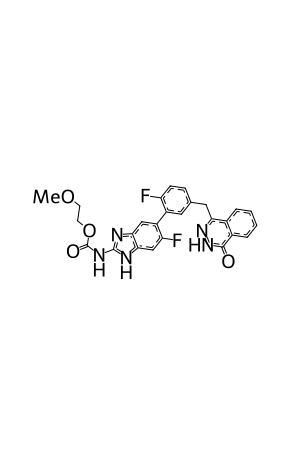 COCCOC(=O)Nc1nc2cc(-c3cc(Cc4n[nH]c(=O)c5ccccc45)ccc3F)c(F)cc2[nH]1